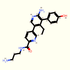 CCc1c(-c2ccc(C(=O)NCCCN)nc2)cnc(N)c1-c1ccc(O)cc1